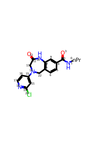 CCCNC(=O)c1ccc2c(c1)NC(=O)CN(c1ccnc(Cl)c1)C2